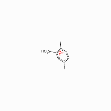 Cc1c(S(=O)(=O)O)c2oc1cc2C